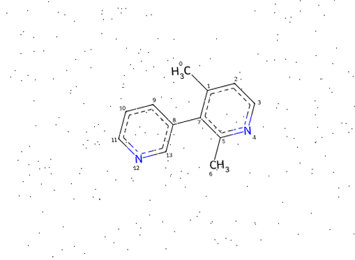 Cc1ccnc(C)c1-c1cccnc1